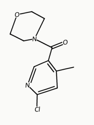 Cc1cc(Cl)ncc1C(=O)N1CCOCC1